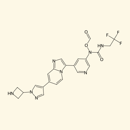 O=CON(C(=O)NCC(F)(F)F)c1cncc(-c2cnc3cc(-c4cnn(C5CNC5)c4)ccn23)c1